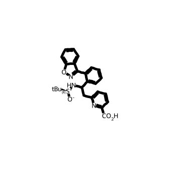 CC(C)(C)[S@+]([O-])NC(Cc1cccc(C(=O)O)n1)c1ccccc1-c1noc2ccccc12